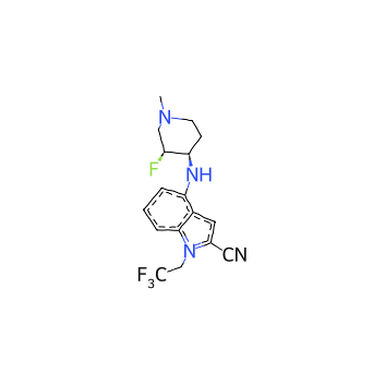 CN1CC[C@@H](Nc2cccc3c2cc(C#N)n3CC(F)(F)F)[C@@H](F)C1